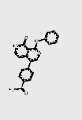 NC(=O)c1ccc(-c2cnc(Nc3ccccc3)c3c(=O)[nH]ccc23)cc1